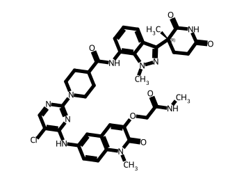 CNC(=O)COc1cc2cc(Nc3nc(N4CCC(C(=O)Nc5cccc6c([C@@]7(C)CCC(=O)NC7=O)nn(C)c56)CC4)ncc3Cl)ccc2n(C)c1=O